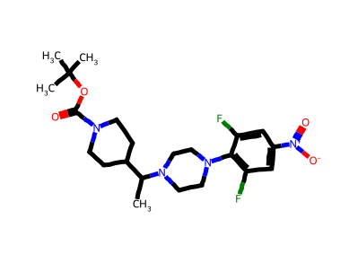 CC(C1CCN(C(=O)OC(C)(C)C)CC1)N1CCN(c2c(F)cc([N+](=O)[O-])cc2F)CC1